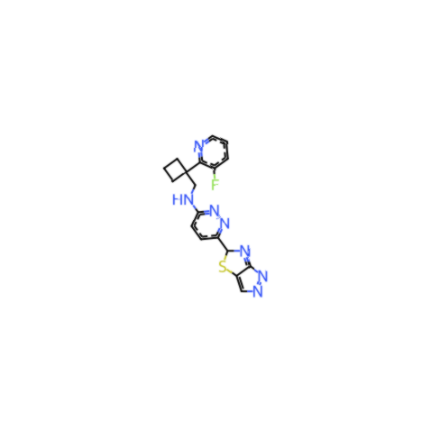 Fc1cccnc1C1(CNc2ccc(C3N=C4N=NC=C4S3)nn2)CCC1